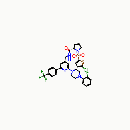 O=C(NCc1cc(-c2ccc(C(F)(F)F)cc2)nc(N2CCN(c3ccccc3F)CC2)c1)[C@@H]1C=CCN1S(=O)(=O)c1ccc(Cl)s1